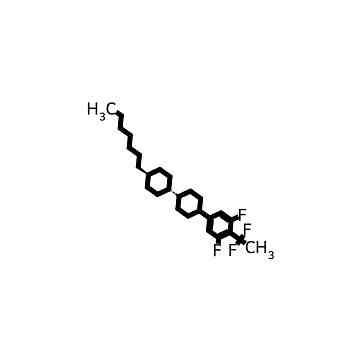 CCCCCCC[C@H]1CC[C@H](C2CCC(c3cc(F)c(C(C)(F)F)c(F)c3)CC2)CC1